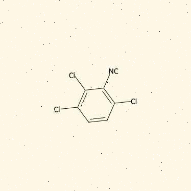 [C-]#[N+]c1c(Cl)ccc(Cl)c1Cl